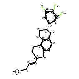 CC/C=C/[C@H]1CCc2c(ccc3c2CC[C@H](c2cc(F)c(F)c(F)c2)C3)C1